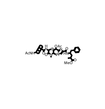 CCC(C)C(NC(=O)C12C3C4C1C1C2C3C41NC(C)=O)C(=O)N(C)C(CC(OC(C)=O)c1nc(C(=O)NC(Cc2ccccc2)CC(C)C(=O)OC)cs1)C(C)C